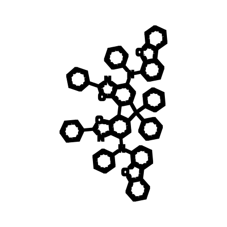 c1ccc(-c2nc3c(N(c4ccccc4)c4cccc5c4oc4ccccc45)cc4c(c3o2)-c2c(cc(N(c3ccccc3)c3cccc5c3oc3ccccc35)c3nc(-c5ccccc5)oc23)C4(c2ccccc2)c2ccccc2)cc1